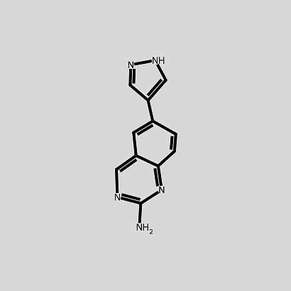 Nc1ncc2cc(-c3cn[nH]c3)ccc2n1